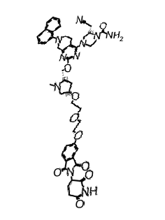 CN1C[C@H](OCCOCCOc2ccc3c(c2)C(=O)N(C2CCC(=O)NC2=O)C3=O)C[C@H]1COc1nc2c(c(N3CCN(C(N)=O)[C@@H](CC#N)C3)n1)CCN(c1cccc3ccccc13)C2